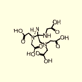 NC(CN(CC(=O)O)CC(=O)O)(NCC(=O)O)N(CC(=O)O)CC(=O)O